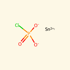 O=P([O-])([O-])Cl.[Sn+2]